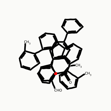 Cc1ccccc1-c1cccc2c3cccc(-c4ccccc4C)c3n(-c3cccc(C=O)c3C(=O)N(C)c3cc(-c4ccccc4)ccc3-c3ccccc3)c12